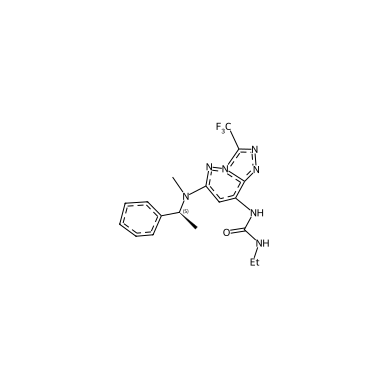 CCNC(=O)Nc1cc(N(C)[C@@H](C)c2ccccc2)nn2c(C(F)(F)F)nnc12